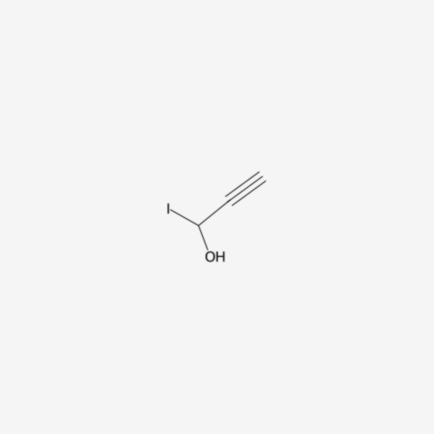 C#CC(O)I